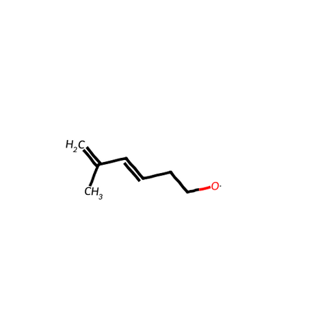 C=C(C)C=CCC[O]